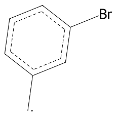 [CH2]c1cccc(Br)c1